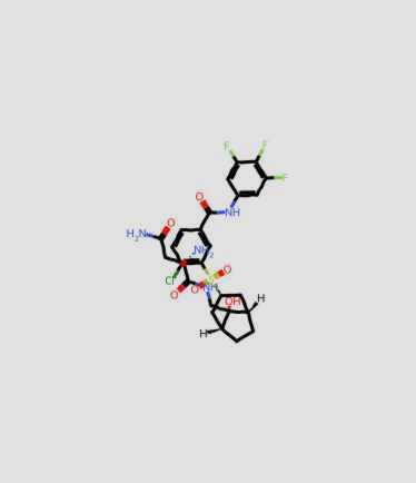 NC(=O)C[C@H](N)C(=O)NC[C@@]1(O)[C@@H]2CC[C@H]1C[C@H](S(=O)(=O)c1cc(C(=O)Nc3cc(F)c(F)c(F)c3)ccc1Cl)C2